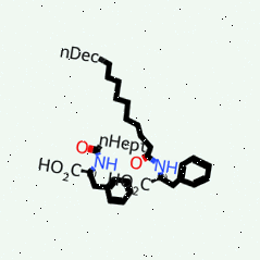 CCCCCCCC(=O)N[C@@H](Cc1ccccc1)C(=O)O.CCCCCCCCCCCCCCCCCCCC(=O)N[C@@H](Cc1ccccc1)C(=O)O